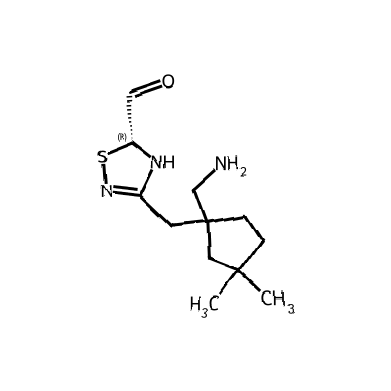 CC1(C)CCC(CN)(CC2=NS[C@H](C=O)N2)C1